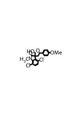 COc1ccc(C(=O)CC2(CO)C(=O)N(C)c3c(Cl)ccc(Cl)c32)cc1